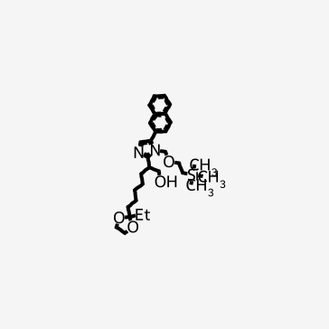 CCC1(CCCCCC(CO)c2ncc(-c3ccc4ccccc4c3)n2COCC[Si](C)(C)C)OCCO1